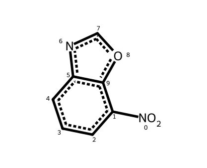 O=[N+]([O-])c1cccc2n[c]oc12